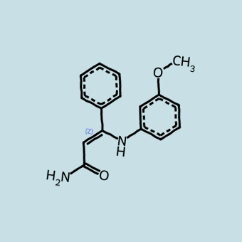 COc1cccc(N/C(=C\C(N)=O)c2ccccc2)c1